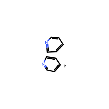 [Ir].c1ccncc1.c1ccncc1